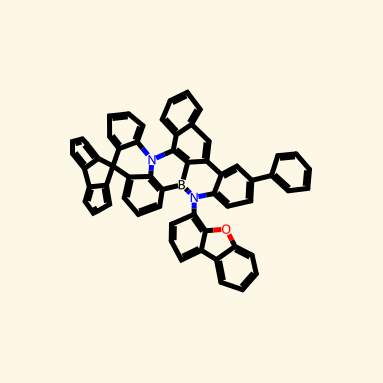 c1ccc(-c2ccc3c(c2)-c2cc4ccccc4c4c2B(c2cccc5c2N4c2ccccc2C52c4ccccc4-c4ccccc42)N3c2cccc3c2oc2ccccc23)cc1